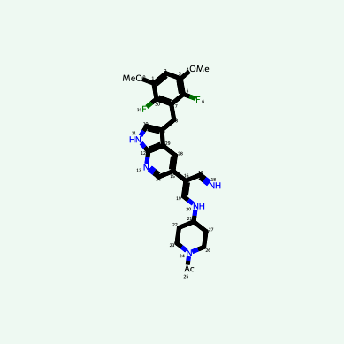 COc1cc(OC)c(F)c(Cc2c[nH]c3ncc(/C(C=N)=C/NC4CCN(C(C)=O)CC4)cc23)c1F